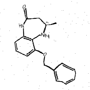 C[C@@H]1CC(=O)Nc2cccc(OCc3ccccc3)c2N1